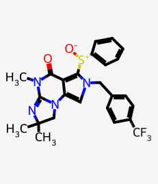 CN1C(=O)c2c(cn(Cc3ccc(C(F)(F)F)cc3)c2[S+]([O-])c2ccccc2)N2CC(C)(C)N=C12